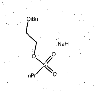 CCCS(=O)(=O)OCCOCC(C)C.[NaH]